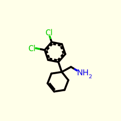 NCC1(c2ccc(Cl)c(Cl)c2)CC=CCC1